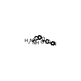 N=C(N)N1CCc2ccc(OC(=O)C3CCN(c4ccncc4)CC3)cc2C1